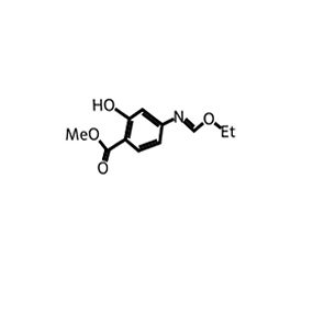 CCOC=Nc1ccc(C(=O)OC)c(O)c1